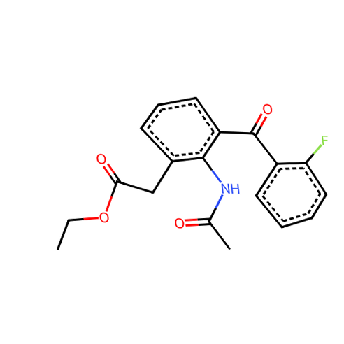 CCOC(=O)Cc1cccc(C(=O)c2ccccc2F)c1NC(C)=O